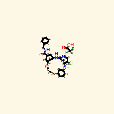 O=C(NCc1ccccc1)c1cc2cc(c1)OCCSc1cccc(c1)Nc1nc(ncc1Cl)N2.O=C(O)C(F)(F)F